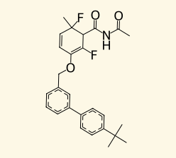 CC(=O)NC(=O)C1C(F)=C(OCc2cccc(-c3ccc(C(C)(C)C)cc3)c2)C=CC1(C)F